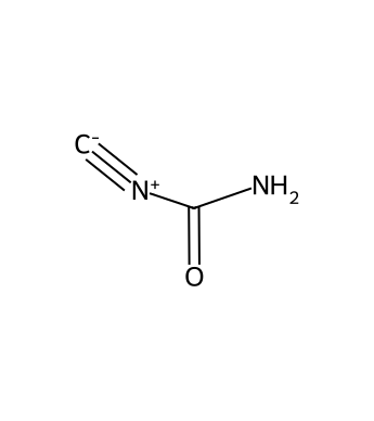 [C-]#[N+]C(N)=O